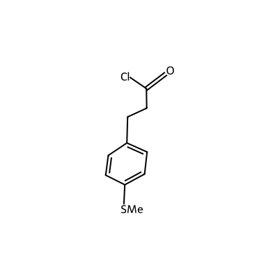 CSc1ccc(CCC(=O)Cl)cc1